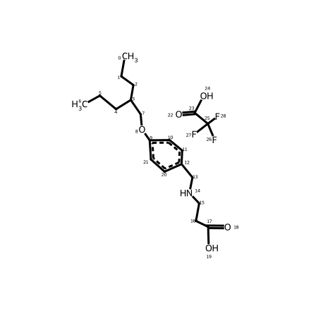 CCCC(CCC)COc1ccc(CNCCC(=O)O)cc1.O=C(O)C(F)(F)F